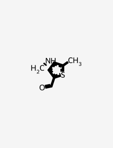 C=N.Cc1ccc(C=O)s1